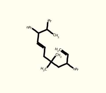 C=CC(CCC)CC(C)(C)CC=CC(CCC)C(C)C(C)C